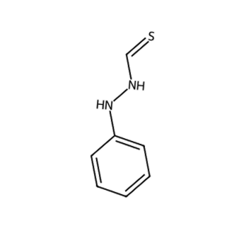 S=CNNc1ccccc1